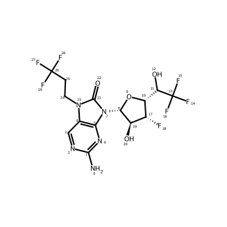 Nc1ncc2c(n1)n([C@@H]1O[C@H](C(O)C(F)(F)F)[C@H](F)[C@H]1O)c(=O)n2CCC(F)(F)F